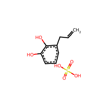 C=CCc1cccc(O)c1O.O=S(=O)(O)O